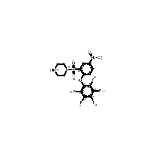 O=[N+]([O-])c1ccc(Oc2c(F)c(F)c(F)c(F)c2F)c(S(=O)(=O)N2CCNCC2)c1